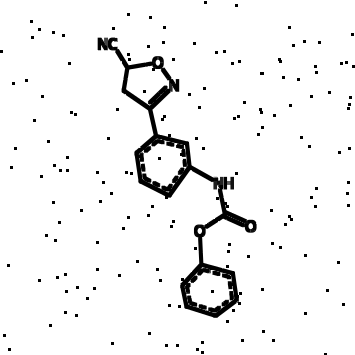 N#CC1CC(c2cccc(NC(=O)Oc3ccccc3)c2)=NO1